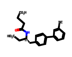 [C-]#[N+]c1cccc(-c2ccc(C[C@H](CC(=O)O)NC(=O)CCC(=O)O)cc2)c1